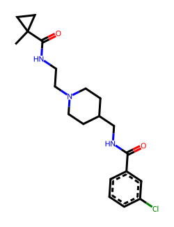 CC1(C(=O)NCCN2CCC(CNC(=O)c3cccc(Cl)c3)CC2)CC1